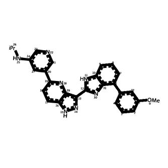 COc1cccc(-c2cccc3[nH]c(-c4n[nH]c5ccc(-c6cncc(NC(C)C)c6)nc45)nc23)c1